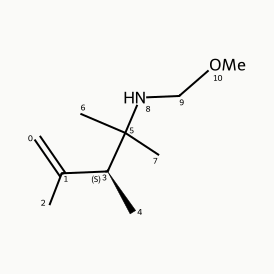 C=C(C)[C@H](C)C(C)(C)NCOC